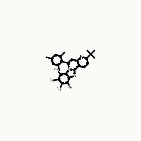 [2H]c1c([2H])c([2H])c2c(nc3c4ccc(C(C)(C)C)nc4cc(-c4c(C)cc(C)cc4C)n32)c1[2H]